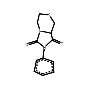 O=C1C2CSCCN2C(=O)N1c1ccccc1